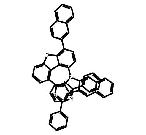 c1ccc(-c2nc(-c3ccccc3)nc(-c3cccc4oc5c(-c6ccc7ccccc7c6)ccc(-n6c7ccccc7c7cc8ccccc8cc76)c5c34)n2)cc1